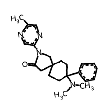 Cc1cnc(N2CC3(CCC(c4ccccc4)(N(C)C)CC3)CC2=O)cn1